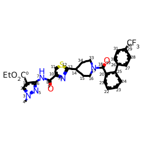 CCOC(=O)c1cn(C)nc1NC(=O)c1csc(C2CCN(C(=O)c3ccccc3-c3ccc(C(F)(F)F)cc3)CC2)n1